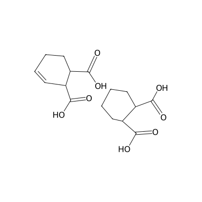 O=C(O)C1C=CCCC1C(=O)O.O=C(O)C1CCCCC1C(=O)O